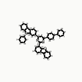 c1ccc(-c2ccc(-c3cc(-c4ccc5c6ccccc6n(-c6ccccc6)c5c4)nc(-c4cccc5c4oc4ccccc45)n3)cc2)cc1